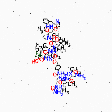 CC[C@H](C)[C@@H]([C@@H](CC(=O)N1CCC[C@H]1[C@H](OC)[C@@H](C)C(=O)N[C@@H](Cc1ccccc1)c1nccs1)OC)N(C)C(=O)[C@@H](NC(=O)C(C)(C)NC(=O)OCc1ccc(NC(=O)[C@H](CCCNC(N)=O)NC(=O)[C@@H](NC(=O)[C@H](CN)NC(C)=O)C(C)C)cc1)C(C)C.O=C(O)C(F)(F)F